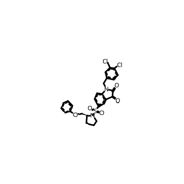 O=C1C(=O)N(Cc2ccc(Cl)c(Cl)c2)c2ccc(S(=O)(=O)N3CCC[C@H]3COc3ccccc3)cc21